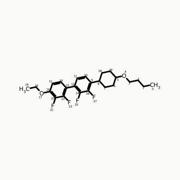 CCCCOC1CCC(c2ccc(-c3ccc(OCC)c(F)c3F)c(F)c2F)CC1